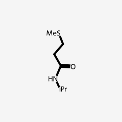 CSCCC(=O)NC(C)C